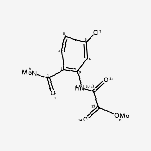 CNC(=O)c1ccc(Cl)cc1NC(=O)C(=O)OC